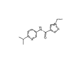 CCn1cc(C(=O)Nc2ccc(C(C)C)nc2)cn1